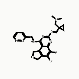 CN(C)CC1(COc2nc(NCc3cccnn3)c3c4c(c(Br)c(F)c3n2)COC4)CC1